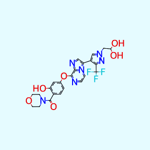 O=C(c1ccc(Oc2nccn3c(-c4cn(CC(O)O)nc4C(F)(F)F)cnc23)cc1O)N1CCOCC1